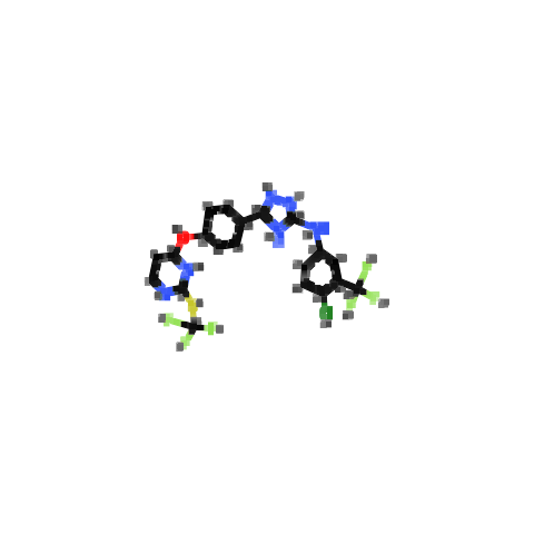 FC(F)(F)Sc1nccc(Oc2ccc(-c3nnc(Nc4ccc(Cl)c(C(F)(F)F)c4)[nH]3)cc2)n1